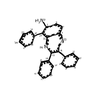 Nc1ccc2nc(-c3ccccc3)c(-c3ccccc3)nc2c1-c1ccccc1